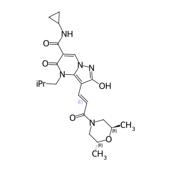 CC(C)Cn1c(=O)c(C(=O)NC2CC2)cn2nc(O)c(/C=C/C(=O)N3C[C@@H](C)O[C@H](C)C3)c12